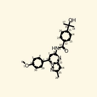 COc1ccc(-c2cc(NC(=O)c3ccc(C(C)(C)O)cc3)nc3cc(C)nn23)cc1